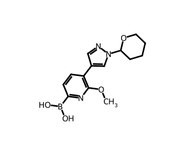 COc1nc(B(O)O)ccc1-c1cnn(C2CCCCO2)c1